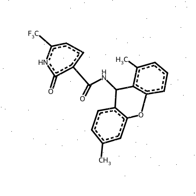 Cc1ccc2c(c1)Oc1cccc(C)c1C2NC(=O)c1ccc(C(F)(F)F)[nH]c1=O